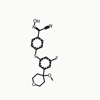 COC1(c2cc(F)cc(Sc3ccc(C(C#N)=NO)cc3)c2)CCOCC1